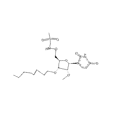 CCCCCCCO[C@H]1[C@@H](OC)[C@H](n2ccc(=O)[nH]c2=O)O[C@@H]1CONS(C)(=O)=O